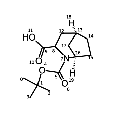 CC(C)(C)OC(=O)N1C(C(=O)O)C[C@H]2CC[C@@H]1C2